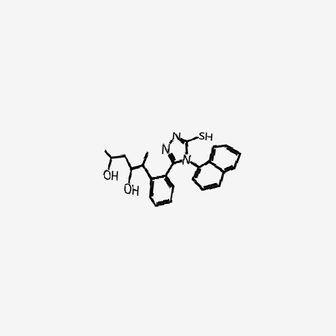 CC(O)CC(O)C(C)c1ccccc1-c1nnc(S)n1-c1cccc2ccccc12